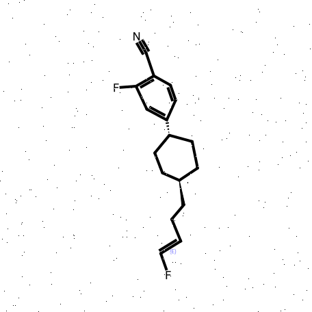 N#Cc1ccc([C@H]2CC[C@H](CC/C=C/F)CC2)cc1F